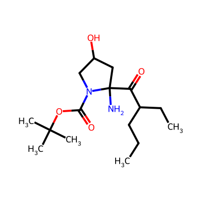 CCCC(CC)C(=O)C1(N)CC(O)CN1C(=O)OC(C)(C)C